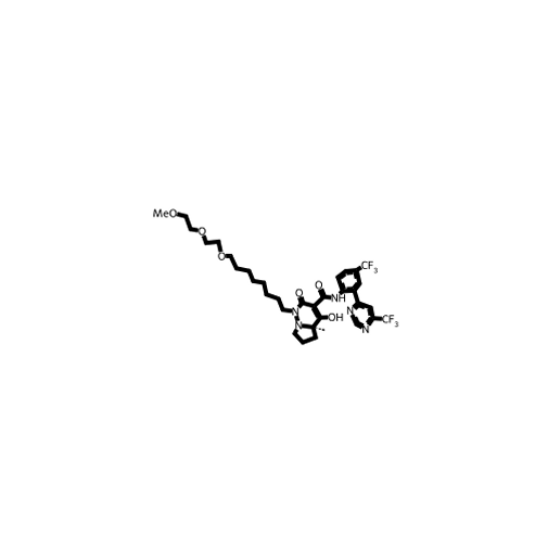 COCCOCCOCCCCCCCCN1C(=O)C(C(=O)Nc2ccc(C(F)(F)F)cc2-c2cc(C(F)(F)F)ncn2)=C(O)[C@@]2(C)CCCN12